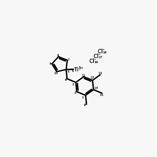 Cc1cc(C[C]2([Ti+3])C=CC=C2)cc(C)c1C.[Cl-].[Cl-].[Cl-]